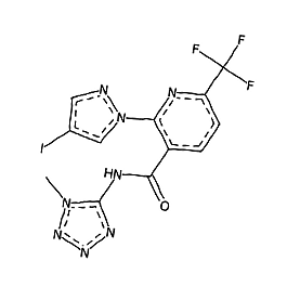 Cn1nnnc1NC(=O)c1ccc(C(F)(F)F)nc1-n1cc(I)cn1